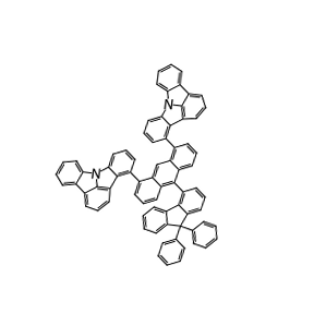 c1ccc(C2(c3ccccc3)c3ccccc3-c3c(-c4c5cccc(-c6cccc7c6c6cccc8c9ccccc9n7c86)c5cc5c(-c6cccc7c6c6cccc8c9ccccc9n7c86)cccc45)cccc32)cc1